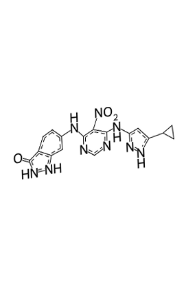 O=c1[nH][nH]c2cc(Nc3ncnc(Nc4cc(C5CC5)[nH]n4)c3[N+](=O)[O-])ccc12